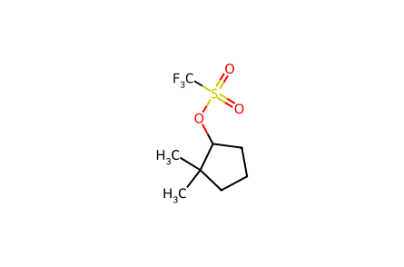 CC1(C)CCCC1OS(=O)(=O)C(F)(F)F